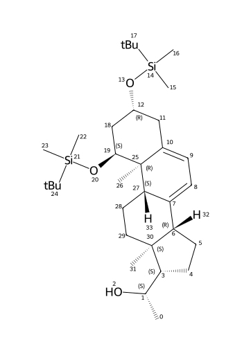 C[C@H](O)[C@H]1CC[C@H]2C3=CC=C4C[C@@H](O[Si](C)(C)C(C)(C)C)C[C@H](O[Si](C)(C)C(C)(C)C)[C@]4(C)[C@H]3CC[C@]12C